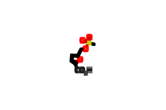 CS(=O)(=O)OCc1ccc(C(=O)O)o1